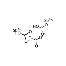 [O-]P([O-])O.[O-]P([O-])O.[O-]P([O-])O.[Sb+3].[Sb+3]